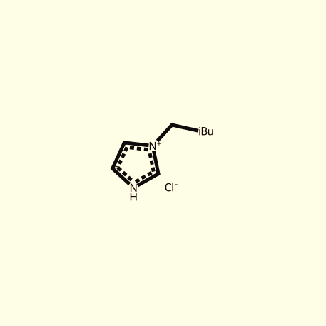 CCC(C)C[n+]1cc[nH]c1.[Cl-]